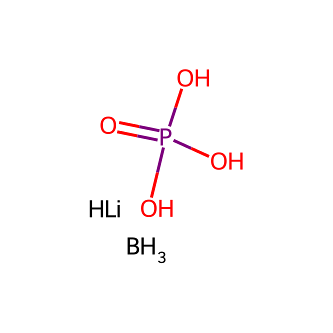 B.O=P(O)(O)O.[LiH]